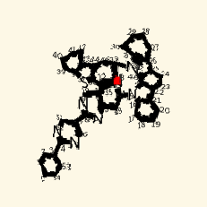 c1ccc(-c2ncc(-c3ncc4cnc(-n5c6ccccc6c6ccc7c8ccccc8n(-c8ccc9sc%10ccccc%10c9c8)c7c65)cc4n3)cn2)cc1